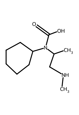 CNCC(C)N(C(=O)O)C1CCCCC1